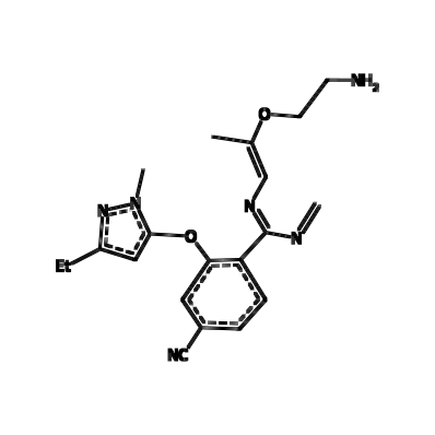 C=N/C(=N\C=C(/C)OCCN)c1ccc(C#N)cc1Oc1cc(CC)nn1C